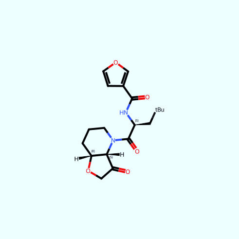 CC(C)(C)C[C@H](NC(=O)c1ccoc1)C(=O)N1CCC[C@H]2OCC(=O)[C@H]21